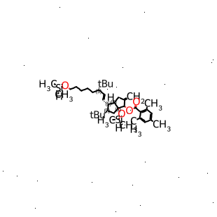 C=C1C[C@H]2[C@@H](C=C[C@H](CCCCCO[SiH](C)C)C(C)(C)C)[C@H](C(C)(C)C)C[C@@]2(O[SiH](C)C)C1OC(=O)c1c(C)cc(C)cc1C